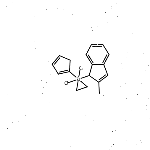 CC1=Cc2ccccc2[CH]1[Zr]1([Cl])([Cl])([C]2=CC=CC2)[CH2][CH2]1